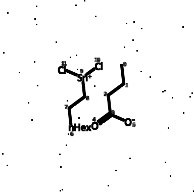 CCCC(=O)[O-].CCCCCCC[CH2][Sn+]([Cl])[Cl]